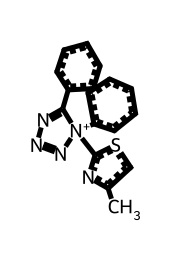 Cc1csc([N+]2(c3ccccc3)N=NN=C2c2ccccc2)n1